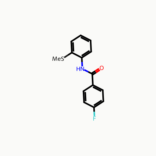 CSc1ccccc1NC(=O)c1ccc(F)cc1